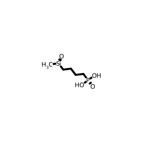 C[Si](=O)CCCCP(=O)(O)O